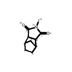 O=C1C2C3CCC(C3)C2C(=O)N1I